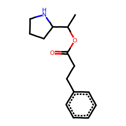 CC(OC(=O)CCc1ccccc1)C1CCCN1